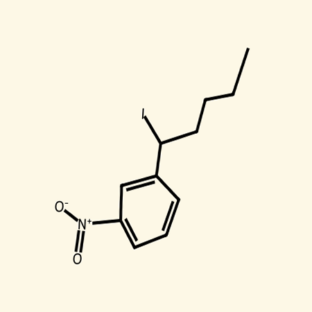 CCCCC(I)c1cccc([N+](=O)[O-])c1